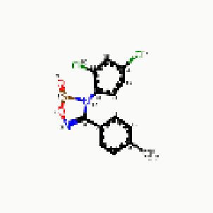 O=S1ON=C(c2ccc(C(F)(F)F)cc2)N1c1ccc(Cl)cc1Cl